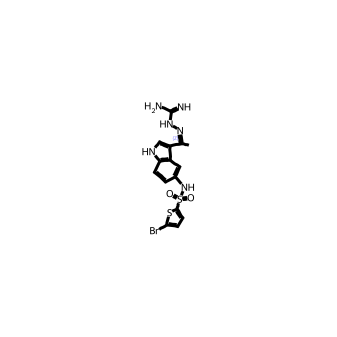 C/C(=N/NC(=N)N)c1c[nH]c2ccc(NS(=O)(=O)c3ccc(Br)s3)cc12